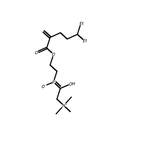 C=C(CCC(CC)CC)C(=O)OCC[P+]([O-])=C(O)C[N+](C)(C)C